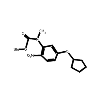 CN(C(=O)OC(C)(C)C)c1cc(OC2CCCC2)ccc1[N+](=O)[O-]